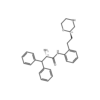 N[C@H](C(=O)Nc1ccccc1CC[C@@H]1CNCCO1)C(c1ccccc1)c1ccccc1